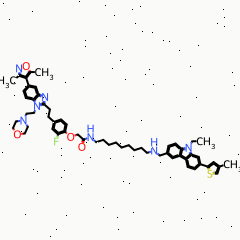 CCn1c2ccc(CNCCCCCCCCCNC(=O)COc3ccc(CCc4nc5cc(-c6c(C)noc6C)ccc5n4CCN4CCOCC4)cc3F)cc2c2ccc(-c3cc(C)cs3)cc21